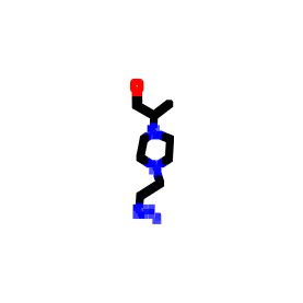 CC(C=O)N1CCN(CCN)CC1